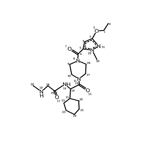 CCOc1cc(C(=O)N2CCN(C(=O)C(NC(=O)CNC)C3CCCCC3)CC2)n(C)n1